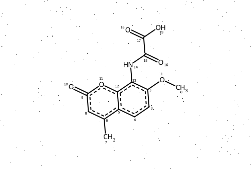 COc1ccc2c(C)cc(=O)oc2c1NC(=O)C(=O)O